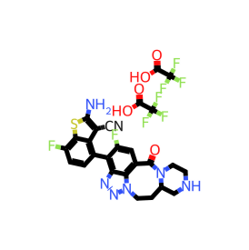 N#Cc1c(N)sc2c(F)ccc(-c3c(F)cc4c5c3nnn5CCC3CNCCN3C4=O)c12.O=C(O)C(F)(F)F.O=C(O)C(F)(F)F